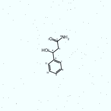 NC(=O)CC(O)c1ccccc1